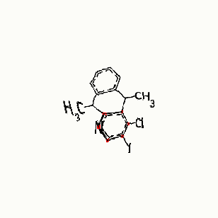 CC12c3ccccc3C(C)(c3ccccc31)c1c2ncc(I)c1Cl